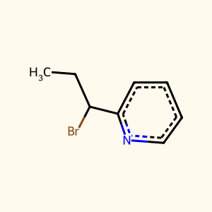 CCC(Br)c1ccccn1